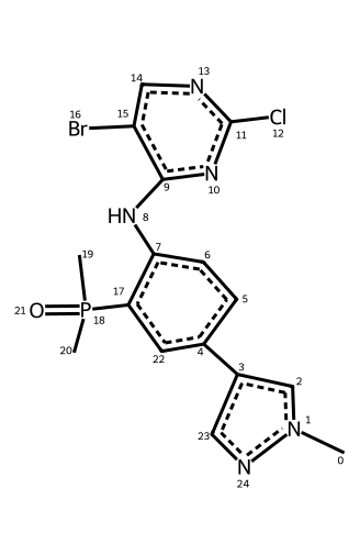 Cn1cc(-c2ccc(Nc3nc(Cl)ncc3Br)c(P(C)(C)=O)c2)cn1